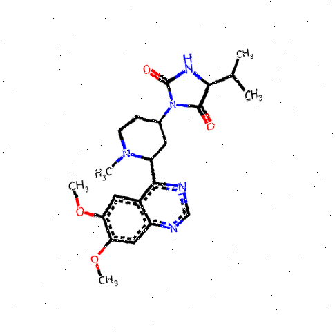 COc1cc2ncnc(C3CC(N4C(=O)NC(C(C)C)C4=O)CCN3C)c2cc1OC